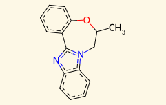 CC1Cn2c(nc3ccccc32)-c2ccccc2O1